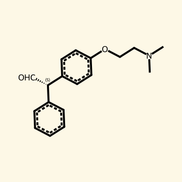 CN(C)CCOc1ccc([C@@H](C=O)c2ccccc2)cc1